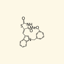 COc1cccc(Cn2cc(C=C3SC(=O)NC3=O)c3ccccc32)c1